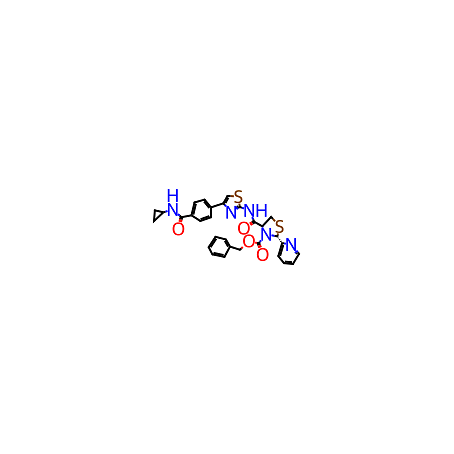 O=C(NC1CC1)c1ccc(-c2csc(NC(=O)C3CS[C@H](c4ccccn4)N3C(=O)OCc3ccccc3)n2)cc1